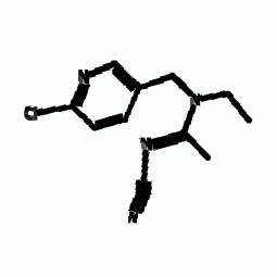 CCN(Cc1ccc(Cl)nc1)C(C)=NC#N